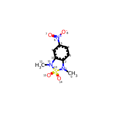 CN1c2ccc([N+](=O)[O-])cc2N(C)S1(=O)=O